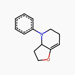 C1=C2OCCC2N(c2ccccc2)CC1